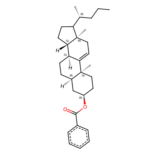 CCC[C@@H](C)C1CC[C@H]2[C@@H]3CC[C@@H]4C[C@H](OC(=O)c5ccccc5)CC[C@]4(C)C3=CC[C@]12C